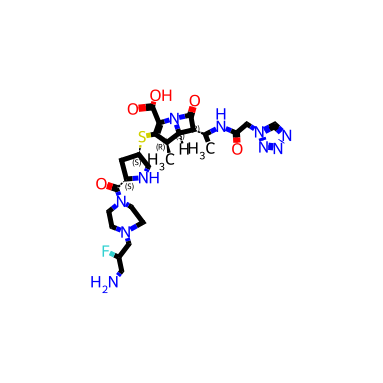 CC(NC(=O)Cn1cnnn1)[C@H]1C(=O)N2C(C(=O)O)=C(S[C@@H]3CN[C@H](C(=O)N4CCN(CC(F)CN)CC4)C3)[C@H](C)[C@H]12